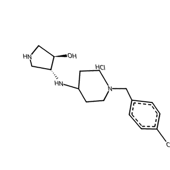 Cl.O[C@@H]1CNC[C@H]1NC1CCN(Cc2ccc(Cl)cc2)CC1